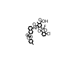 Cc1ccc(OS(=O)(=O)c2ccc3c(NC(=O)c4cc(N(C(=O)F)C(=O)c5cccc(Cl)c5)cc(C(=O)O)c4C)cccc3c2)cc1